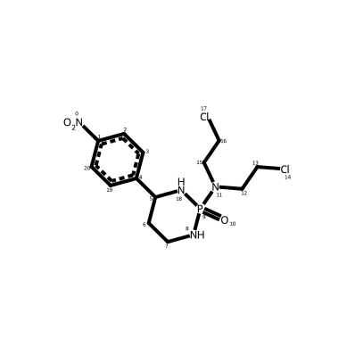 O=[N+]([O-])c1ccc(C2CCNP(=O)(N(CCCl)CCCl)N2)cc1